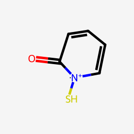 O=C1C=CC=C[N+]1S